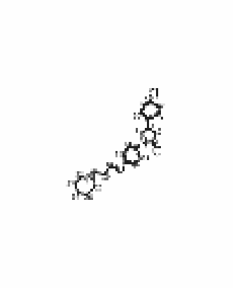 O=C1CC(c2ccc(Cl)cc2)CN1c1ccc(OCCCN2CCCCC2)cc1